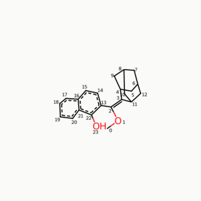 COC(=C1C2CC3CC(C2)CC1C3)c1ccc2ccccc2c1O